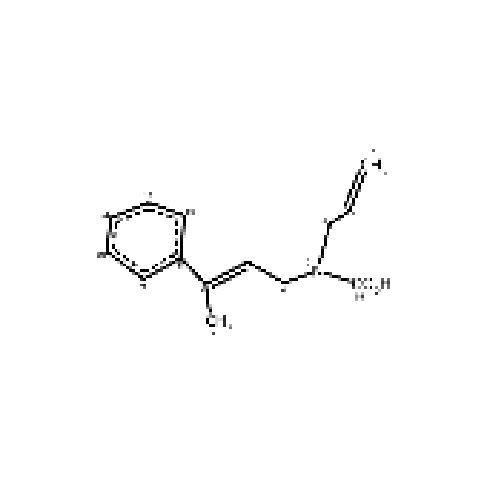 C=CCN(CC=C(C)c1ccccc1)C(=O)O